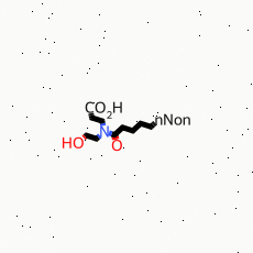 CCCCCCCCCCCCCC(=O)N(CCO)CCC(=O)O